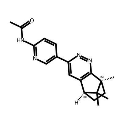 CC(=O)Nc1ccc(-c2cc3c(nn2)[C@@]2(C)CC[C@@H]3C2(C)C)cn1